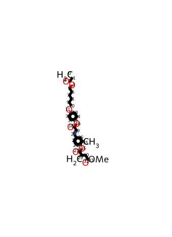 C=CC(=O)OCCCCCCOc1ccc(OC(=O)/C=C/c2ccc(OC(=O)C(=C)CC(=O)OC)c(C)c2)cc1